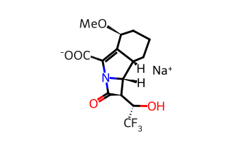 CO[C@H]1CCC[C@H]2C1=C(C(=O)[O-])N1C(=O)[C@H]([C@H](O)C(F)(F)F)[C@@H]21.[Na+]